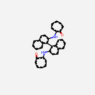 O=c1cccccc1Nc1ccc2ccccc2c1-c1c(Nc2cccccc2=O)ccc2ccccc12